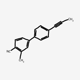 CC#Cc1ccc(-c2ccc(C#N)c(C)c2)cc1